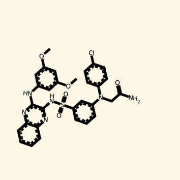 COc1cc(Nc2nc3ccccc3nc2NS(=O)(=O)c2cccc(N(CC(N)=O)c3ccc(Cl)cc3)c2)cc(OC)c1